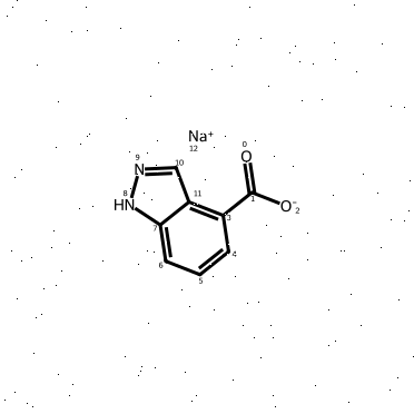 O=C([O-])c1cccc2[nH]ncc12.[Na+]